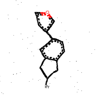 CC(C)C1Cc2ccc(-c3ccoc3)cc2C1